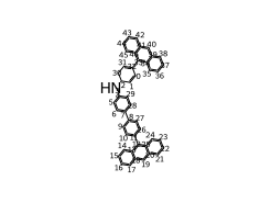 C1=CC(Nc2ccc(-c3ccc(-c4c5ccccc5cc5ccccc45)cc3)cc2)CC=C1c1c2ccccc2cc2ccccc12